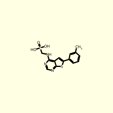 Cc1cccc(-c2cc3c(NCP(=O)(O)O)ncnc3s2)c1